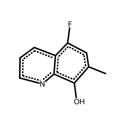 Cc1cc(F)c2cccnc2c1O